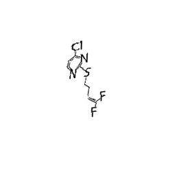 FC(F)=CCCSc1nccc(Cl)n1